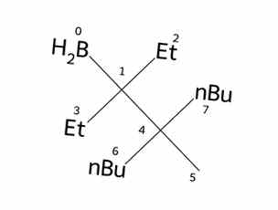 BC(CC)(CC)C(C)(CCCC)CCCC